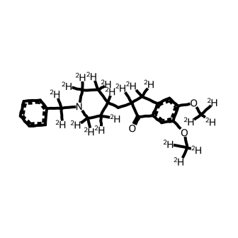 [2H]C([2H])([2H])Oc1cc2c(cc1OC([2H])([2H])[2H])C([2H])([2H])C([2H])(CC1([2H])C([2H])([2H])C([2H])([2H])N(C([2H])([2H])c3ccccc3)C([2H])([2H])C1([2H])[2H])C2=O